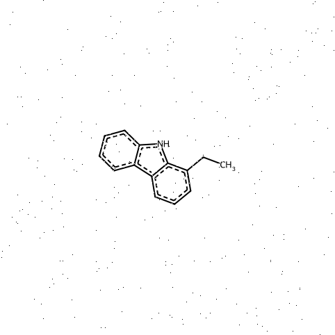 C[CH]c1cccc2c1[nH]c1ccccc12